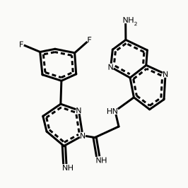 N=C(CNc1ccnc2cc(N)cnc12)n1nc(-c2cc(F)cc(F)c2)ccc1=N